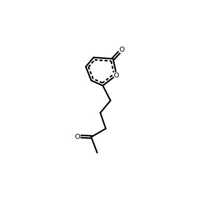 CC(=O)CCCc1cccc(=O)o1